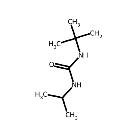 [CH2]C(C)(C)NC(=O)NC(C)C